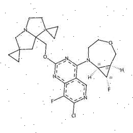 Fc1c(Cl)ncc2c(N3CCOC[C@H]4[C@H](F)[C@H]43)nc(OCC34CC5(CC5)CN3CCC43CC3)nc12